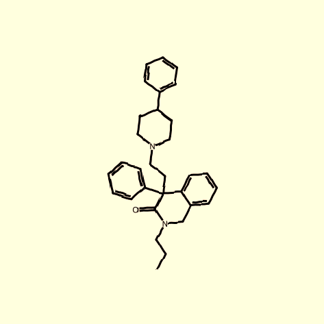 CCCN1Cc2ccccc2C(CCN2CCC(c3ccccc3)CC2)(c2ccccc2)C1=O